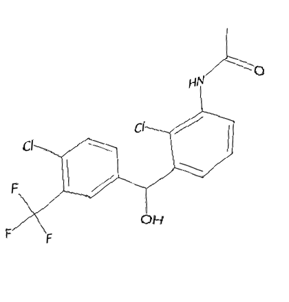 CC(=O)Nc1cccc(C(O)c2ccc(Cl)c(C(F)(F)F)c2)c1Cl